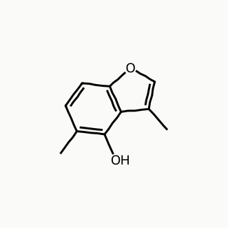 Cc1ccc2occ(C)c2c1O